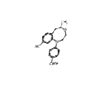 COc1ccc(N2CCOC(C)Cc3ccc(C#N)cc32)cc1